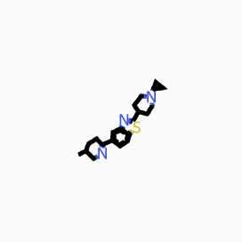 CC1CCC(c2ccc3sc(C4CCN(C5CC5)CC4)nc3c2)=NC1